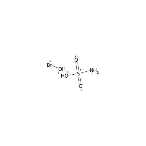 NS(=O)(=O)O.OBr